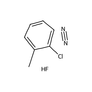 Cc1ccccc1Cl.F.N#N